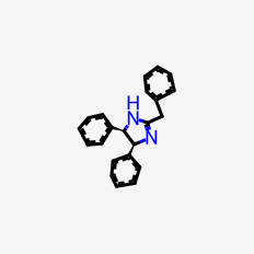 c1ccc(CC2=N[C@@H](c3ccccc3)[C@@H](c3ccccc3)N2)cc1